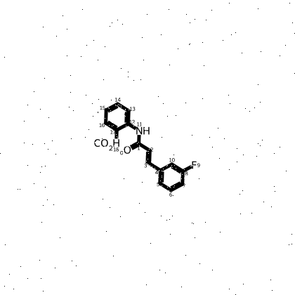 O=C(C=Cc1cccc(F)c1)Nc1ccccc1C(=O)O